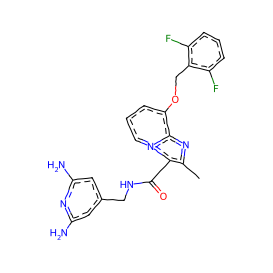 Cc1nc2c(OCc3c(F)cccc3F)cccn2c1C(=O)NCc1cc(N)nc(N)c1